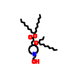 CCCCCCCCC(CCCCCCCC)OC(=O)CC/C1=C(\OC(CCC)CCCCCCCC)CCCN(CCO)CCCC1